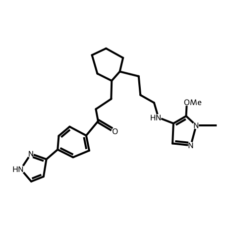 COc1c(NCCCC2CCCCC2CCC(=O)c2ccc(-c3cc[nH]n3)cc2)cnn1C